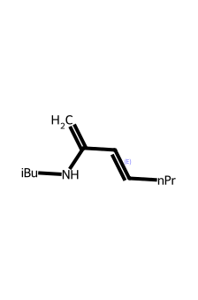 C=C(/C=C/CCC)NC(C)CC